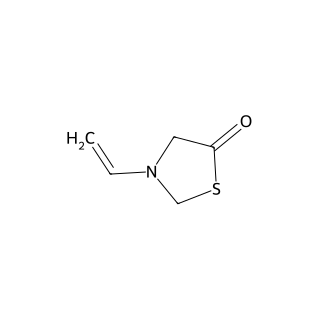 C=CN1CSC(=O)C1